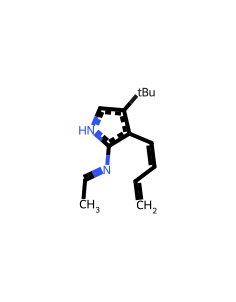 C=C/C=C\c1c(C(C)(C)C)c[nH]c1/N=C/C